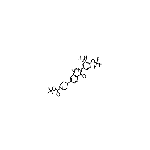 CC(C)(C)OC(=O)N1CCC(c2ccc3c(=O)n(-c4ccc(OC(F)(F)F)c(N)c4)cnc3c2)CC1